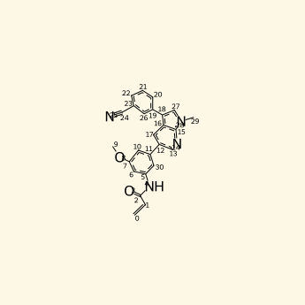 C=CC(=O)Nc1cc(OC)cc(-c2cnc3c(c2)c(-c2cccc(C#N)c2)cn3C)c1